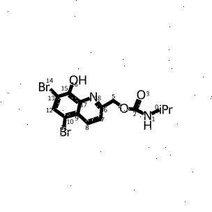 CC(C)NC(=O)OCc1ccc2c(Br)cc(Br)c(O)c2n1